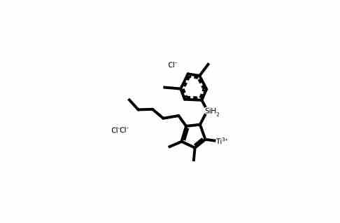 CCCCCC1=C(C)C(C)=[C]([Ti+3])C1[SiH2]c1cc(C)cc(C)c1.[Cl-].[Cl-].[Cl-]